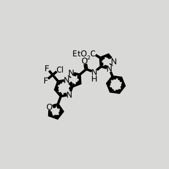 CCOC(=O)c1cnn(-c2ccccc2)c1NC(=O)c1cc2nc(-c3ccco3)cc(C(F)(F)Cl)n2n1